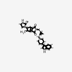 CC1C2CC(C3C(=O)N(C[C@H]4C[C@@H]4CN4CCC(c5c[nH]c6ccccc56)CC4)C(=O)C23)C1N1CCNC1=O